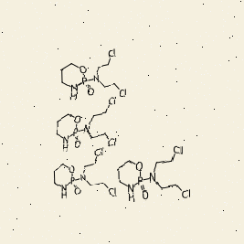 O=P1(N(CCCl)CCCl)NCCCO1.O=P1(N(CCCl)CCCl)NCCCO1.O=P1(N(CCCl)CCCl)NCCCO1.O=P1(N(CCCl)CCCl)NCCCO1